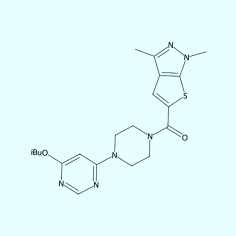 Cc1nn(C)c2sc(C(=O)N3CCN(c4cc(OCC(C)C)ncn4)CC3)cc12